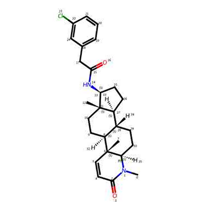 CN1C(=O)C=C[C@]2(C)[C@H]3CC[C@]4(C)[C@@H](NC(=O)Cc5cccc(Cl)c5)CC[C@H]4[C@@H]3CC[C@@H]12